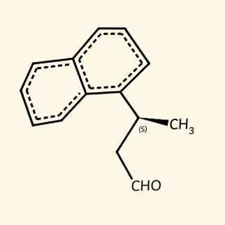 C[C@@H](CC=O)c1cccc2ccccc12